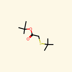 CC(C)(C)OC(=O)CSC(C)(C)C